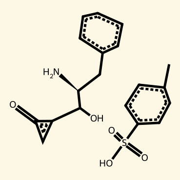 Cc1ccc(S(=O)(=O)O)cc1.N[C@@H](Cc1ccccc1)C(O)c1cc1=O